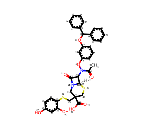 CC(=O)N(Oc1cccc(OC(c2ccccc2)c2ccccc2)c1)C1C(=O)N2CC(CSc3ccc(O)cc3O)(C(=O)O)CS[C@H]12